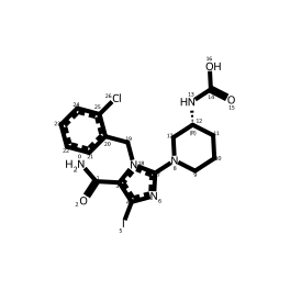 NC(=O)c1c(I)nc(N2CCC[C@@H](NC(=O)O)C2)n1Cc1ccccc1Cl